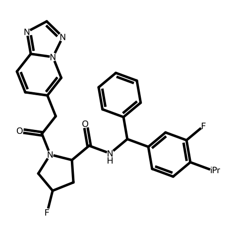 CC(C)c1ccc(C(NC(=O)C2CC(F)CN2C(=O)Cc2ccc3ncnn3c2)c2ccccc2)cc1F